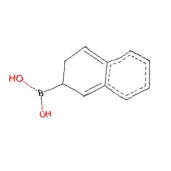 OB(O)C1C=c2ccccc2=CC1